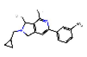 Cc1nc(-c2cccc([N+](=O)[O-])c2)cc2c1C(C=O)N(CC1CC1)C2